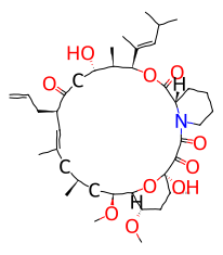 C=CC[C@@H]1/C=C(\C)C[C@H](C)C[C@H](OC)[C@H]2O[C@@](O)(C(=O)C(=O)N3CCCC[C@H]3C(=O)O[C@H](/C(C)=C/C(C)C)[C@H](C)[C@@H](O)CC1=O)[C@H](C)C[C@@H]2OC